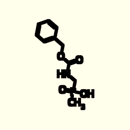 CP(=O)(O)CNC(=O)OCc1ccccc1